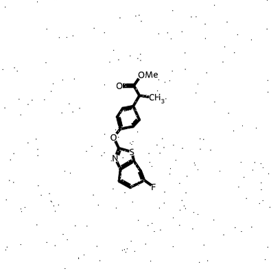 COC(=O)C(C)c1ccc(Oc2nc3ccc(F)cc3s2)cc1